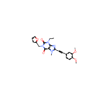 CCn1c(=O)n(Cc2ccco2)c(=O)c2c1nc(C#Cc1ccc(OC)c(OC)c1)n2C